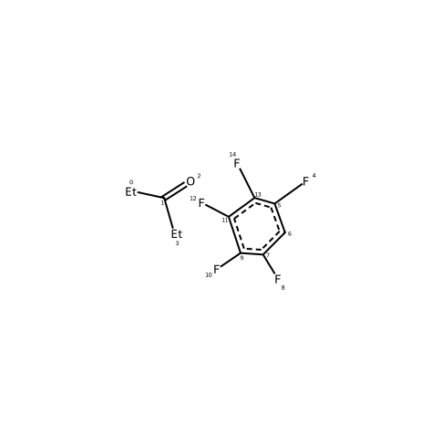 CCC(=O)CC.Fc1cc(F)c(F)c(F)c1F